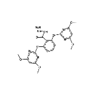 COc1cc(OC)nc(Oc2cccc(Oc3nc(OC)cc(OC)n3)c2C(=O)O)n1.[NaH].[NaH]